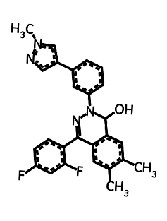 Cc1cc2c(cc1C)C(O)N(c1cccc(-c3cnn(C)c3)c1)N=C2c1ccc(F)cc1F